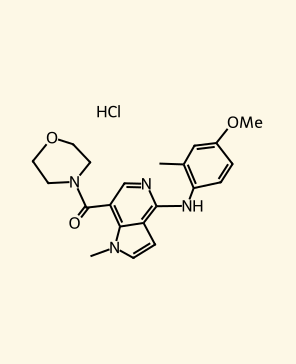 COc1ccc(Nc2ncc(C(=O)N3CCOCC3)c3c2ccn3C)c(C)c1.Cl